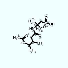 CC(=O)OC(C)C(C)CC(=O)NC(C)(C)CS(=O)(=O)O